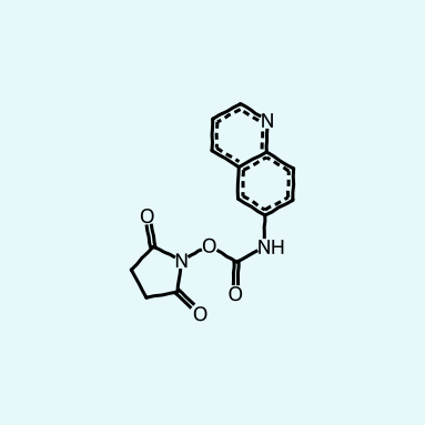 O=C(Nc1ccc2ncccc2c1)ON1C(=O)CCC1=O